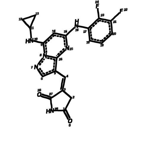 O=C1CC(=Cc2cnn3c(NC4CC4)cc(Nc4cccc(F)c4F)nc23)C(=O)N1